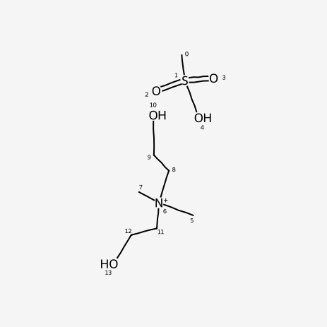 CS(=O)(=O)O.C[N+](C)(CCO)CCO